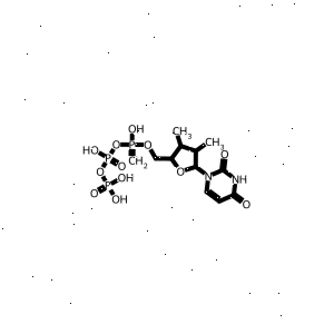 C=P(O)(OCC1OC(n2ccc(=O)[nH]c2=O)C(C)C1C)OP(=O)(O)OP(=O)(O)O